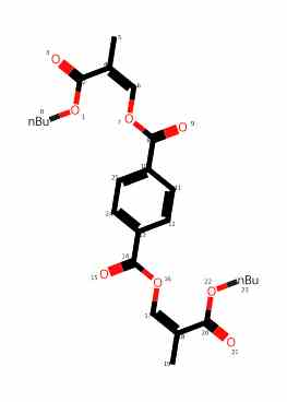 CCCCOC(=O)C(C)=COC(=O)c1ccc(C(=O)OC=C(C)C(=O)OCCCC)cc1